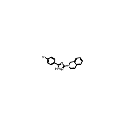 Brc1ccc(-c2nc(N3C=Cc4ccccc4C3)n[nH]2)cc1